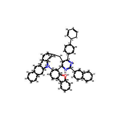 C1=CCC(c2ccc(-c3nc(-c4ccc5ccccc5c4)nc4c3Cc3ccc5c6cc7ccccc7cc6n(c5c3)-c3ccc5c(oc6ccccc65)c3-4)cc2)C=C1